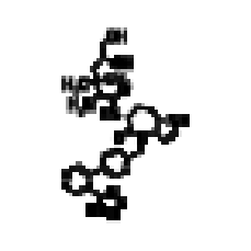 CC(C)(C[C@H](O)CO)C(N)C(=O)N[C@@H]1CCc2[nH]ccc2N(Cc2ccc(-c3ccccc3-c3nnn[nH]3)cc2)C1=O